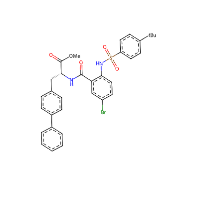 COC(=O)[C@@H](Cc1ccc(-c2ccccc2)cc1)NC(=O)c1cc(Br)ccc1NS(=O)(=O)c1ccc(C(C)(C)C)cc1